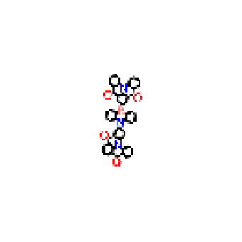 O=c1c2ccccc2n2c3ccc(N4c5ccccc5B(c5cc6c(=O)c7ccccc7n7c8ccccc8c(=O)c(c5)c67)c5ccccc54)cc3c(=O)c3cccc1c32